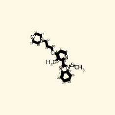 CSn1c(-c2nccc(OCCCN3CCOCC3)c2C)nc2ccccc21